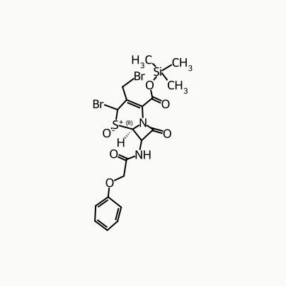 C[Si](C)(C)OC(=O)C1=C(CBr)C(Br)[S+]([O-])[C@@H]2C(NC(=O)COc3ccccc3)C(=O)N12